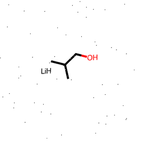 CC(C)CO.[LiH]